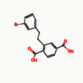 O=C(O)c1ccc(C(=O)O)c(CCc2cccc(Br)c2)c1